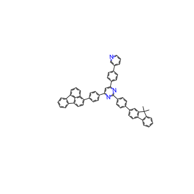 CC1(C)c2ccccc2-c2ccc(-c3ccc(-c4nc(-c5ccc(-c6cccnc6)cc5)cc(-c5ccc(-c6ccc7c8c(cccc68)-c6ccccc6-7)cc5)n4)cc3)cc21